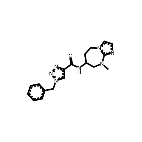 CN1CC(NC(=O)c2cn(Cc3ccccc3)nn2)CCn2ccnc21